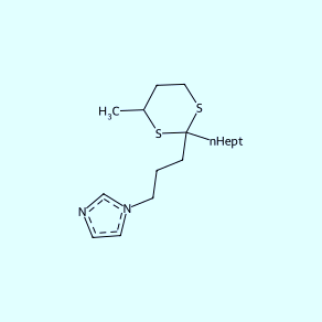 CCCCCCCC1(CCCn2ccnc2)SCCC(C)S1